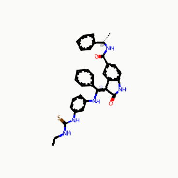 CCNC(=S)Nc1cccc(N/C(=C2\C(=O)Nc3ccc(C(=O)N[C@@H](C)c4ccccc4)cc32)c2ccccc2)c1